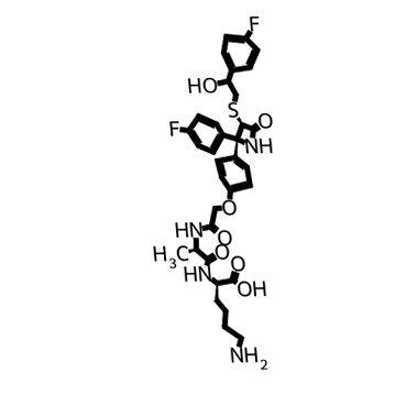 C[C@@H](NC(=O)COc1ccc([C@]2(c3ccc(F)cc3)NC(=O)[C@@H]2SCC(O)c2ccc(F)cc2)cc1)C(=O)N[C@H](CCCCN)C(=O)O